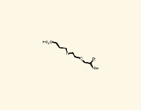 CCCCC(CC)COCCOCCCC(=O)O